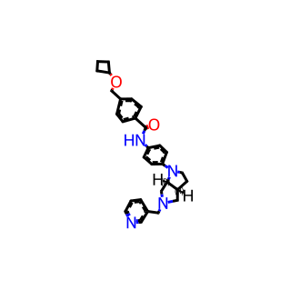 O=C(Nc1ccc(N2CC[C@@H]3CN(Cc4cccnc4)C[C@@H]32)cc1)c1ccc(COC2CCC2)cc1